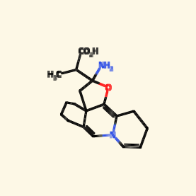 CC(C(=O)O)C1(N)CC23CCCCC2=CN2C=CCCC2=C3O1